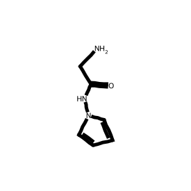 NCC(=O)Nn1cccc1